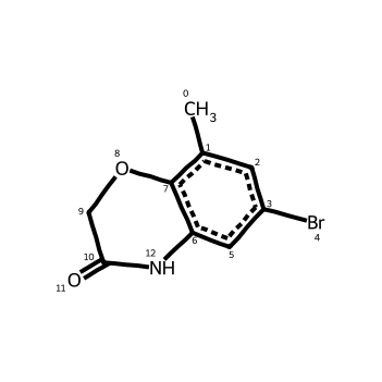 Cc1cc(Br)cc2c1OCC(=O)N2